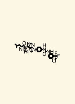 CC(C)CC(N)C(=O)Nc1ncnc2c1ncn2-c1ccc(NC(=O)Nc2ccc(Cl)c(C(F)(F)F)c2)cc1